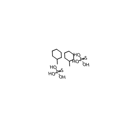 CC1CCCCC1.CC1CCCCC1.OP(O)(O)=S.OP(O)(O)=S